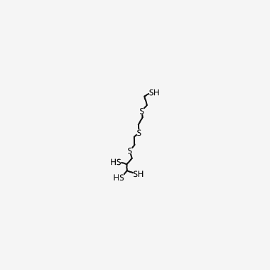 SCCSCCSCCSCC(S)C(S)S